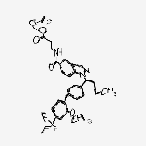 CCCC(c1ccc(-c2ccc(C(F)(F)F)cc2OC)cc1)n1ncc2cc(C(=O)NCCC(=O)OCC)ccc21